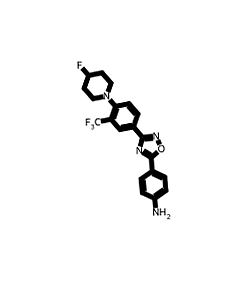 Nc1ccc(-c2nc(-c3ccc(N4CCC(F)CC4)c(C(F)(F)F)c3)no2)cc1